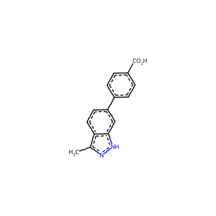 Cc1n[nH]c2cc(-c3ccc(C(=O)O)cc3)ccc12